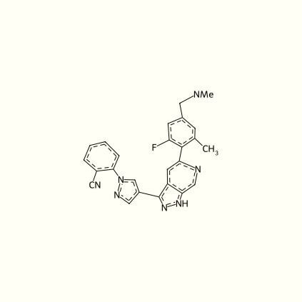 CNCc1cc(C)c(-c2cc3c(-c4cnn(-c5ccccc5C#N)c4)n[nH]c3cn2)c(F)c1